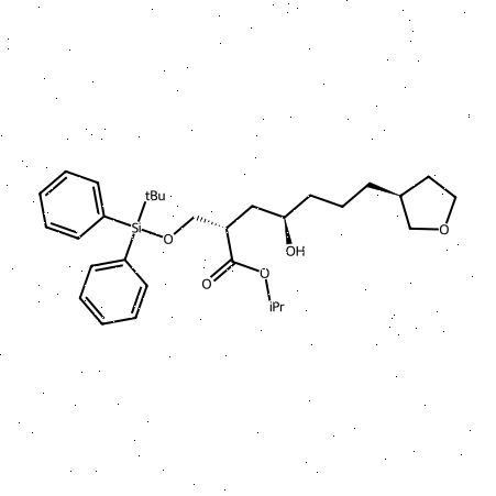 CC(C)OC(=O)[C@H](CO[Si](c1ccccc1)(c1ccccc1)C(C)(C)C)C[C@H](O)CCC[C@H]1CCOC1